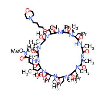 CC[C@@H]1NC(=O)[C@H]([C@H](O)[C@H](C)CCCC(=O)N(C)OC)N(C)C(=O)[C@H](C(C)C)N(C)C(=O)[C@H](CC(C)C)N(C)C(=O)[C@H](CC(C)C)N(C)C(=O)[C@@H](C)NC(=O)[C@H](C)NC(=O)[C@H](CC(C)C)N(C)C(=O)[C@H](C(C)C)NC(=O)[C@H]([C@@H](C)OCCCCN2CCOCC2)N(C)C(=O)[C@@H](C)N(C)C1=O